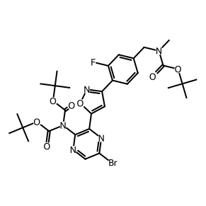 CN(Cc1ccc(-c2cc(-c3nc(Br)cnc3N(C(=O)OC(C)(C)C)C(=O)OC(C)(C)C)on2)c(F)c1)C(=O)OC(C)(C)C